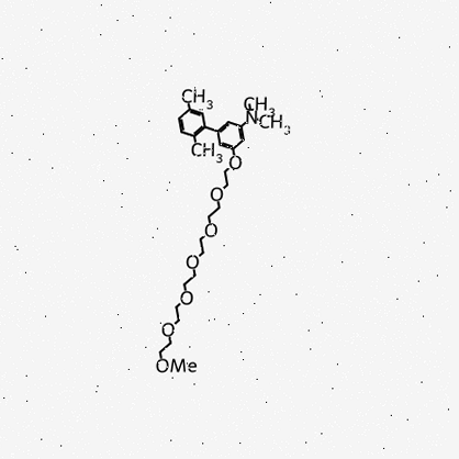 COCCOCCOCCOCCOCCOCCOc1cc(-c2cc(C)ccc2C)cc(N(C)C)c1